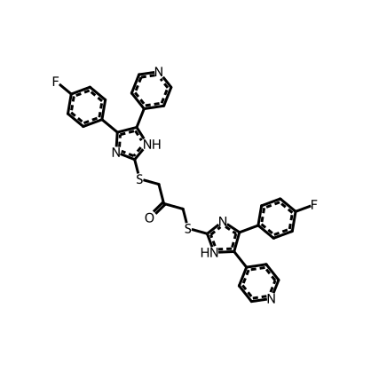 O=C(CSc1nc(-c2ccc(F)cc2)c(-c2ccncc2)[nH]1)CSc1nc(-c2ccc(F)cc2)c(-c2ccncc2)[nH]1